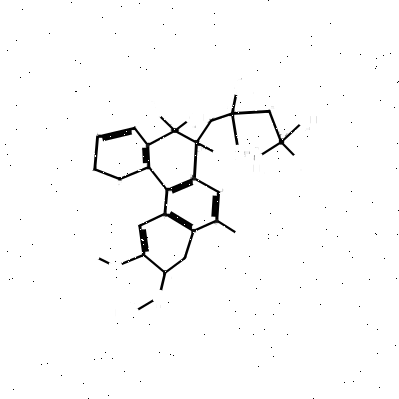 COC1=Cc2c(c(O)cc3c2C2=C(C=CCC2)C(C)(C)C3(C)CC(C)(C)CC(C)(C)C)CC1OC